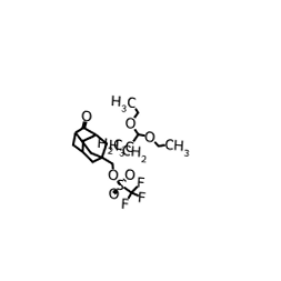 C=C.CCOC(C)OCC.O=C1C2CC3CC1CC(COS(=O)(=O)C(F)(F)F)(C3)C2